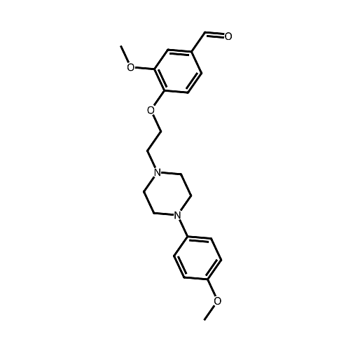 COc1ccc(N2CCN(CCOc3ccc(C=O)cc3OC)CC2)cc1